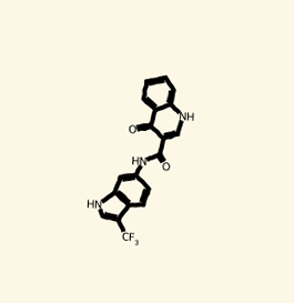 O=C(Nc1ccc2c(C(F)(F)F)c[nH]c2c1)c1c[nH]c2ccccc2c1=O